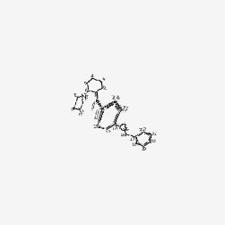 C(=C1CCCCC1N1CCC1)c1ccc(OCc2ccccc2)cc1